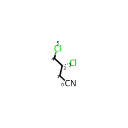 N#CC[C@@H](Cl)CCl